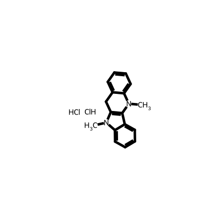 CN1c2ccccc2Cc2c1c1ccccc1n2C.Cl.Cl